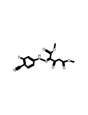 COC(=O)CC(=O)C(=NNc1ccc(C#N)c(F)c1)C(=O)OC